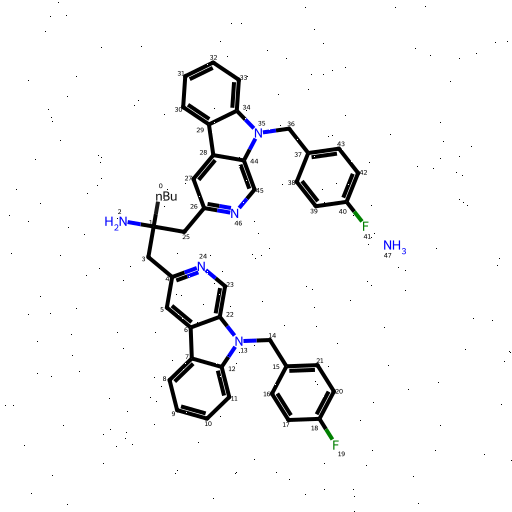 CCCCC(N)(Cc1cc2c3ccccc3n(Cc3ccc(F)cc3)c2cn1)Cc1cc2c3ccccc3n(Cc3ccc(F)cc3)c2cn1.N